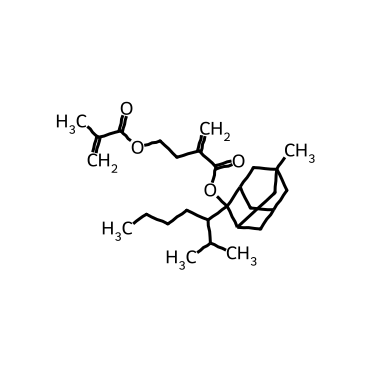 C=C(C)C(=O)OCCC(=C)C(=O)OC1(C(CCCC)C(C)C)C2CC3CC1CC(C)(C3)C2